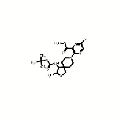 COC(=O)c1nc(Br)cnc1N1CCC2(CC1)COC(C)C2NC(=O)OC(C)(C)C